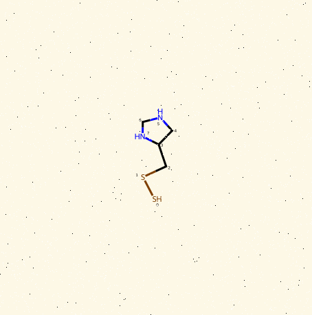 SSCC1CNCN1